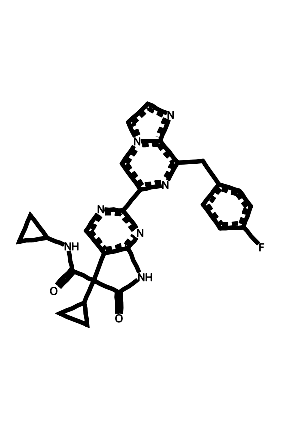 O=C1Nc2nc(-c3cn4ccnc4c(Cc4ccc(F)cc4)n3)ncc2C1(C(=O)NC1CC1)C1CC1